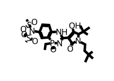 CCP1(=O)N=C(C2=C(O)C(C(C)(C)C)N(CCC(C)(C)C)C2=O)Nc2ccc(N(S(C)(=O)=O)S(C)(=O)=O)cc21